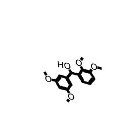 COc1cc(OC)cc(C(O)c2cccc(OC)c2OC)c1